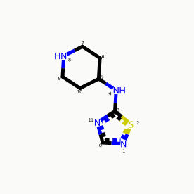 c1nsc(NC2CCNCC2)n1